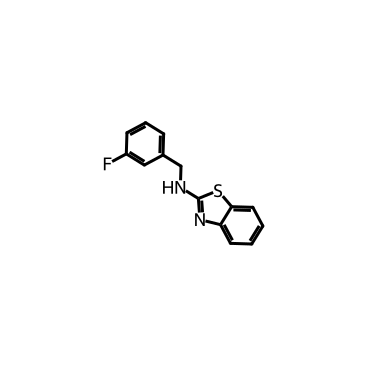 Fc1cccc(CNc2nc3ccccc3s2)c1